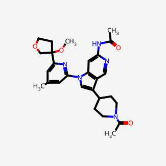 COC1(c2cc(C)cc(-n3cc(C4CCN(C(C)=O)CC4)c4cnc(NC(C)=O)cc43)n2)CCOC1